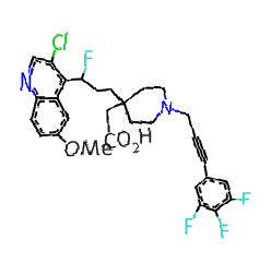 COc1ccc2ncc(Cl)c(C(F)CCC3(CC(=O)O)CCN(CC#Cc4cc(F)c(F)c(F)c4)CC3)c2c1